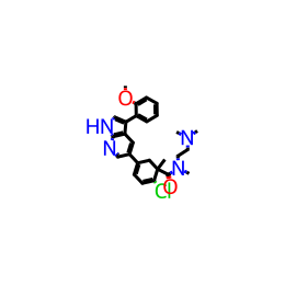 COc1ccccc1-c1c[nH]c2ncc(C3=CC=C(Cl)C(C)(C(=O)N(C)CCN(C)C)C3)cc12